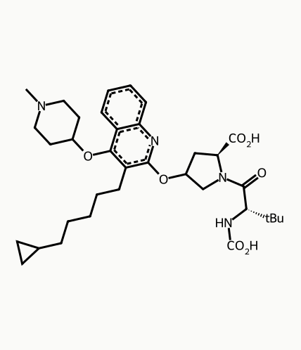 CN1CCC(Oc2c(CCCCCC3CC3)c(OC3C[C@@H](C(=O)O)N(C(=O)[C@@H](NC(=O)O)C(C)(C)C)C3)nc3ccccc23)CC1